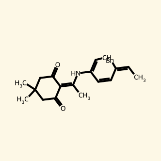 C\C=C(Br)/C=C\C(=C/C)NC(C)=C1C(=O)CC(C)(C)CC1=O